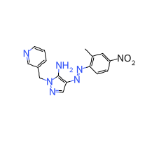 Cc1cc([N+](=O)[O-])ccc1/N=N/c1cnn(Cc2cccnc2)c1N